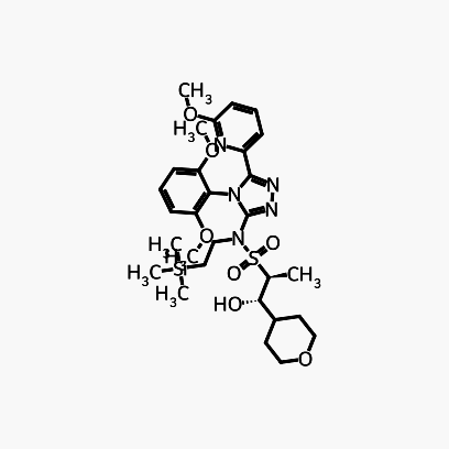 COc1cccc(-c2nnc(N(CC[Si](C)(C)C)S(=O)(=O)[C@@H](C)[C@@H](O)C3CCOCC3)n2-c2c(OC)cccc2OC)n1